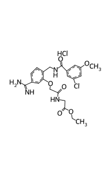 CCOC(=O)CNC(=O)COc1cc(C(=N)N)ccc1CNC(=O)c1cc(Cl)cc(OC)c1.Cl